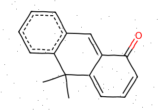 CC1(C)C2=CC=CC(=O)C2=Cc2ccccc21